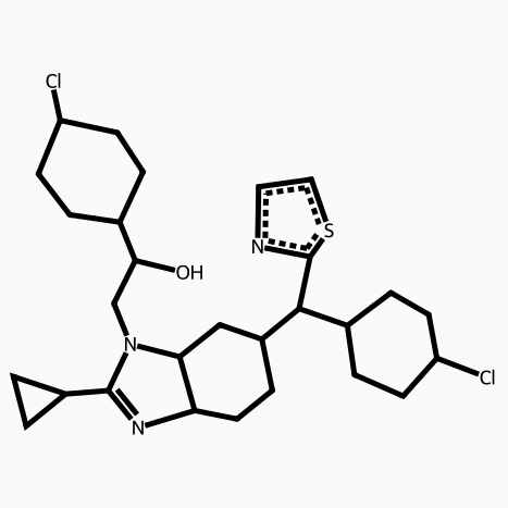 OC(CN1C(C2CC2)=NC2CCC(C(c3nccs3)C3CCC(Cl)CC3)CC21)C1CCC(Cl)CC1